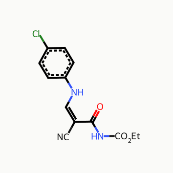 CCOC(=O)NC(=O)/C(C#N)=C\Nc1ccc(Cl)cc1